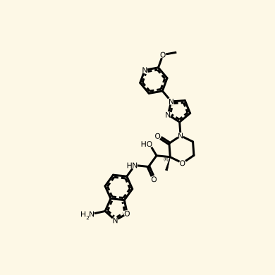 COc1cc(-n2ccc(N3CCO[C@](C)(C(O)C(=O)Nc4ccc5c(N)noc5c4)C3=O)n2)ccn1